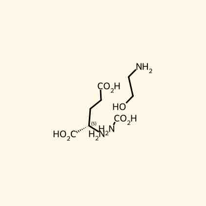 NC(=O)O.NCCO.N[C@@H](CCC(=O)O)C(=O)O